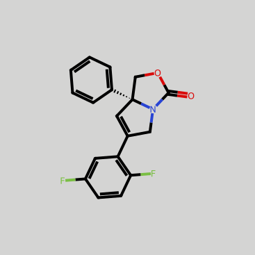 O=C1OC[C@]2(c3ccccc3)C=C(c3cc(F)ccc3F)CN12